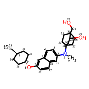 CN(c1ccc2cc(O[C@H]3CC[C@H](C(C)(C)C)CC3)ccc2c1)C12CCC(CO)(CC1)C(O)C2